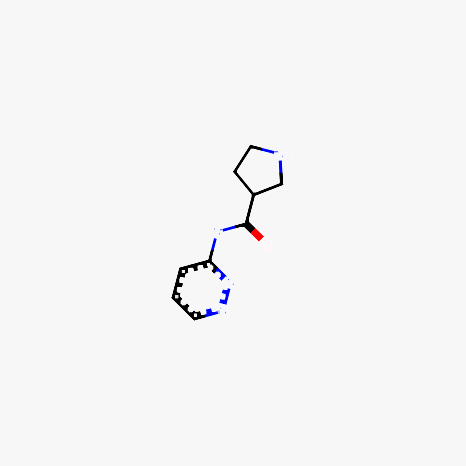 O=C(Nc1cccnn1)C1CCNC1